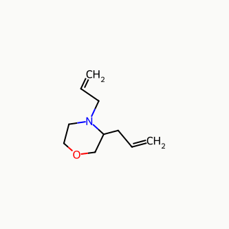 C=CCC1COCCN1CC=C